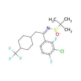 CC(C)(C)[S@@+]([O-])/N=C(/CC1CCC(C(F)(F)F)CC1)c1ccc(F)c(Cl)c1F